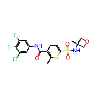 CC1=C(C(=O)Nc2cc(F)c(F)c(Cl)c2)CC=C(S(=O)(=O)NC2(C)COC2)S1